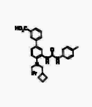 Cc1ccc(NC(=O)Nc2cc(-c3cccc(C(=O)O)c3)ccc2N(CC(C)C)CC2CCC2)cc1